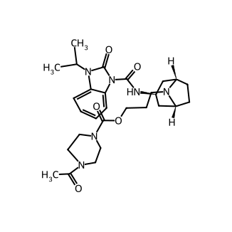 CC(=O)N1CCN(C(=O)OCCCN2[C@@H]3CC[C@H]2C[C@H](NC(=O)n2c(=O)n(C(C)C)c4ccccc42)C3)CC1